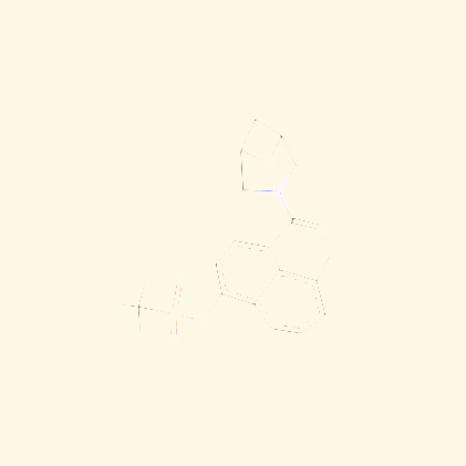 Cc1cccc2c(OS(=O)(=O)C(F)(F)F)ccc(C(=O)N3CC4CC(C3)O4)c12